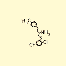 Cc1ccc(CCC(N)CSc2cc(Cl)ccc2Cl)cc1